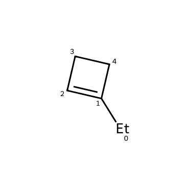 CCC1=CCC1